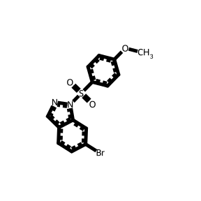 COc1ccc(S(=O)(=O)n2ncc3ccc(Br)cc32)cc1